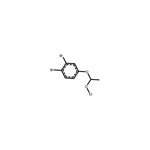 CCOC(C)Oc1ccc(Br)c(Br)c1